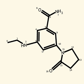 CCNc1cc(C(N)=O)cc(N2CCCC2=O)c1